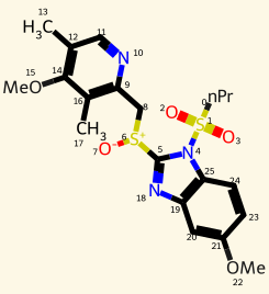 CCCS(=O)(=O)n1c([S+]([O-])Cc2ncc(C)c(OC)c2C)nc2cc(OC)ccc21